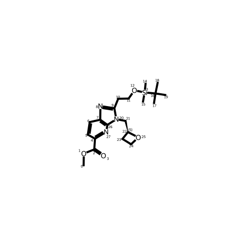 COC(=O)c1ccc2nc(CCO[Si](C)(C)C(C)(C)C)n(C[C@@H]3CCO3)c2n1